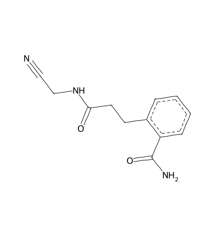 N#CCNC(=O)CCc1ccccc1C(N)=O